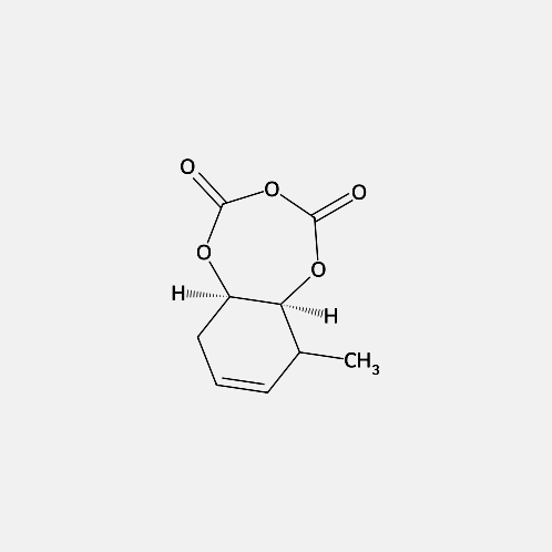 CC1C=CC[C@H]2OC(=O)OC(=O)O[C@@H]12